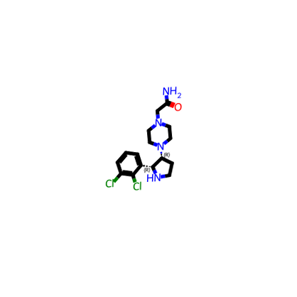 NC(=O)CN1CCN([C@@H]2CCN[C@@H]2c2cccc(Cl)c2Cl)CC1